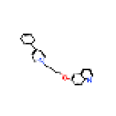 C1=CCC(C2=CCN(CCCCOc3ccc4ncccc4c3)C=C2)=CC1